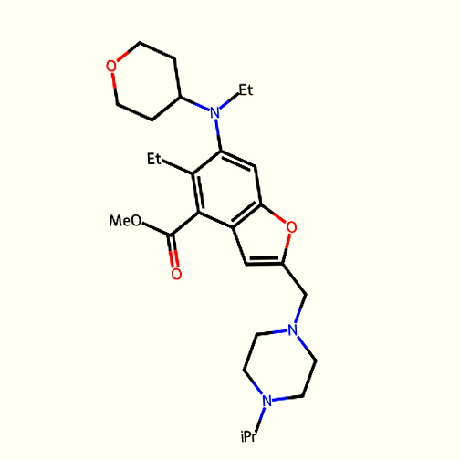 CCc1c(N(CC)C2CCOCC2)cc2oc(CN3CCN(C(C)C)CC3)cc2c1C(=O)OC